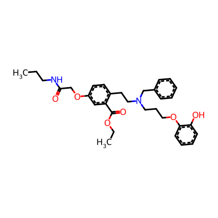 CCCNC(=O)COc1ccc(CCN(CCCOc2ccccc2O)Cc2ccccc2)c(C(=O)OCC)c1